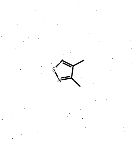 Cc1[c]snc1C